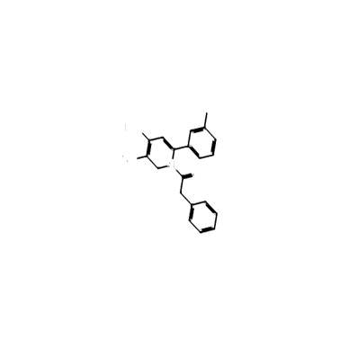 Cc1cccc(C2=CC(C(F)(F)F)=C(C#N)CN2C(=O)Cc2ccccc2)c1